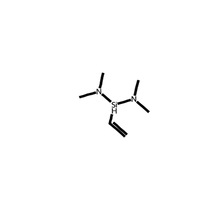 C=C[SiH](N(C)C)N(C)C